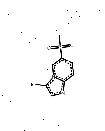 CS(=O)(=O)c1ccc2ncc(Br)n2c1